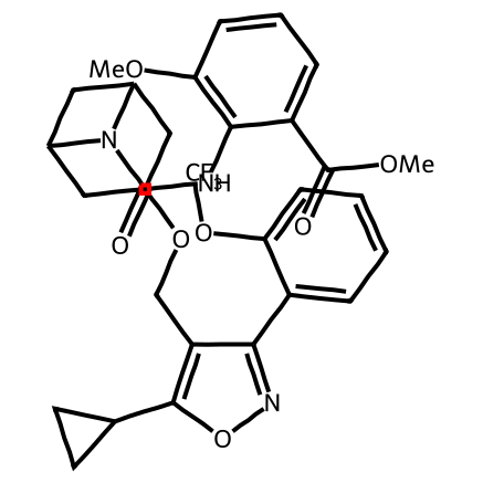 COC(=O)c1cccc(OC)c1NC(=O)N1C2CC(OCc3c(-c4ccccc4OC(F)(F)F)noc3C3CC3)CC1C2